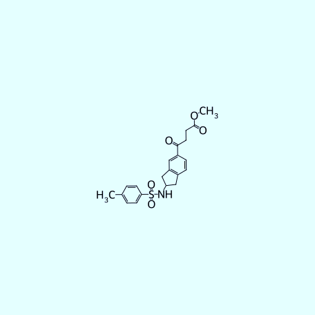 COC(=O)CCC(=O)c1ccc2c(c1)CC(NS(=O)(=O)c1ccc(C)cc1)C2